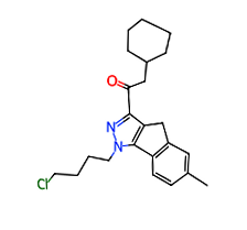 Cc1ccc2c(c1)Cc1c(C(=O)CC3CCCCC3)nn(CCCCCl)c1-2